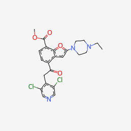 CCN1CCN(c2cc3c(C(=O)Cc4c(Cl)cncc4Cl)ccc(C(=O)OC)c3o2)CC1